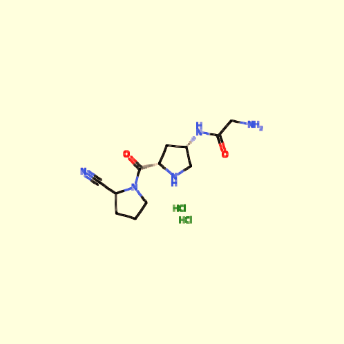 Cl.Cl.N#CC1CCCN1C(=O)[C@@H]1C[C@H](NC(=O)CN)CN1